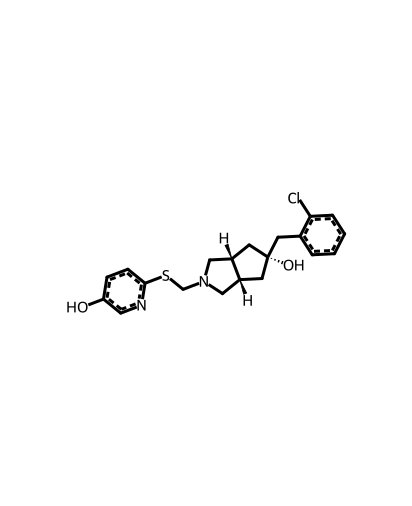 Oc1ccc(SCN2C[C@@H]3C[C@@](O)(Cc4ccccc4Cl)C[C@@H]3C2)nc1